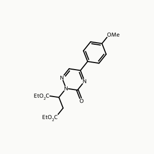 CCOC(=O)CC(C(=O)OCC)n1ncc(-c2ccc(OC)cc2)nc1=O